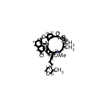 CO[C@@]1(C#CCCN2CCOC[C@@H]2C)/C=C/C[C@H](C)[C@@H](C)S(=O)(=O)NC(=O)c2ccc3c(c2)N(C[C@@H]2CC[C@H]21)C[C@@]1(CCCc2cc(Cl)ccc21)CO3